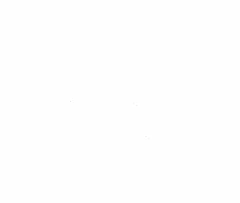 N#Cc1ccc2c(c1)cc(C(=O)NCC1CCCO1)n2Cc1cccc(OC(F)(F)F)c1